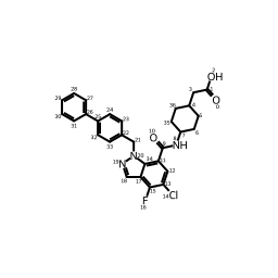 O=C(O)CC1CCC(NC(=O)c2cc(Cl)c(F)c3cnn(Cc4ccc(-c5ccccc5)cc4)c23)CC1